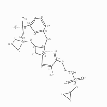 O=S(=O)(CC1CC1)NCCc1cc2c(cc1F)CC(CN1CCC1)C2Cc1cccc(C(F)(F)F)c1